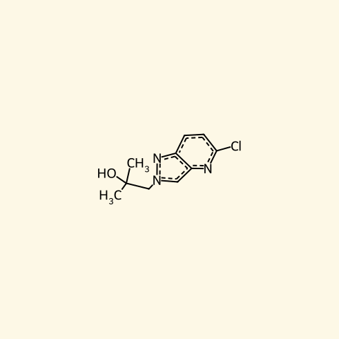 CC(C)(O)Cn1cc2nc(Cl)ccc2n1